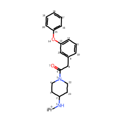 CC(C)NC1CCN(C(=O)Cc2cccc(Oc3ccccc3)c2)CC1